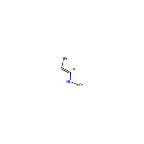 CCCNC=CC(C)C.Cl